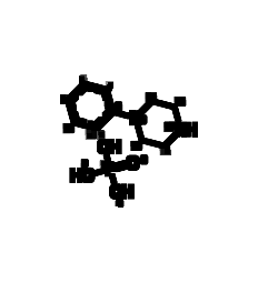 O=P(O)(O)O.c1ccc(N2CCNCC2)cc1